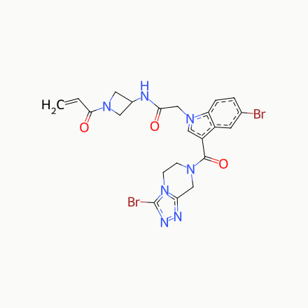 C=CC(=O)N1CC(NC(=O)Cn2cc(C(=O)N3CCn4c(Br)nnc4C3)c3cc(Br)ccc32)C1